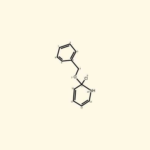 ClC1(OCc2ccccc2)C=CC=CN1